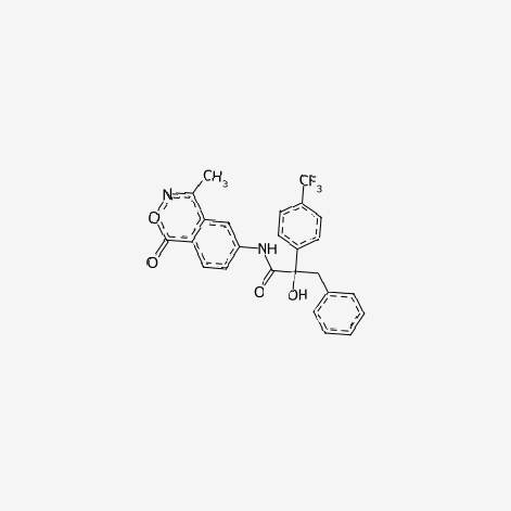 Cc1noc(=O)c2ccc(NC(=O)C(O)(Cc3ccccc3)c3ccc(C(F)(F)F)cc3)cc12